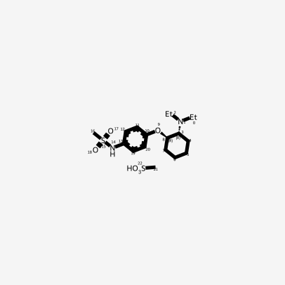 CCN(CC)[C@@H]1CCCC[C@H]1Oc1ccc(NS(C)(=O)=O)cc1.CS(=O)(=O)O